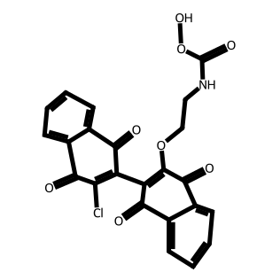 O=C(NCCOC1=C(C2=C(Cl)C(=O)c3ccccc3C2=O)C(=O)c2ccccc2C1=O)OO